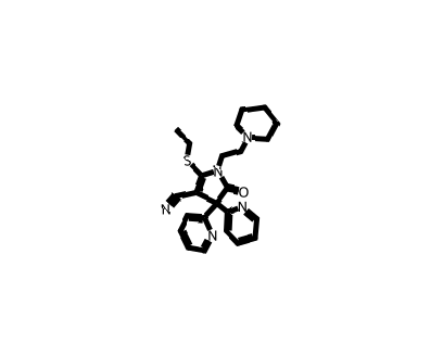 CCSC1=C(C#N)C(c2ccccn2)(c2ccccn2)C(=O)N1CCN1CCCCC1